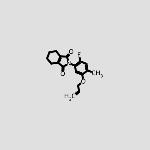 C=CCOc1cc(N2C(=O)C3=C(CCCC3)C2=O)c(F)cc1C